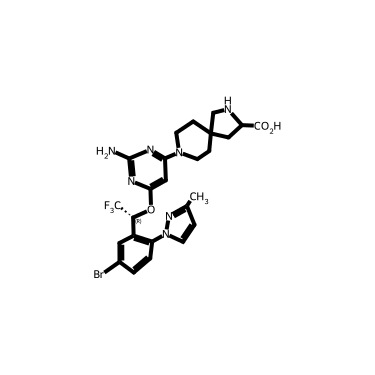 Cc1ccn(-c2ccc(Br)cc2[C@@H](Oc2cc(N3CCC4(CC3)CNC(C(=O)O)C4)nc(N)n2)C(F)(F)F)n1